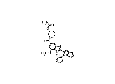 COc1cc(C(=O)N2CCC[C@@H](OC(N)=O)C2)cc2nc(-c3cc4ccsc4n3C3CCOC3)n(C)c12